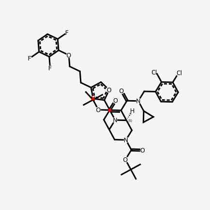 CC(C)(C)OC(=O)N1CC2CC(c3nc(CCCOc4c(F)ccc(F)c4F)co3)=C(C(=O)N(Cc3cccc(Cl)c3Cl)C3CC3)[C@@H](C1)N2C(=O)OC(C)(C)C